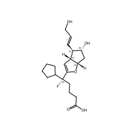 O=C(O)CCC[C@](F)(C1=C[C@@H]2[C@@H](/C=C/CO)[C@H](O)C[C@@H]2O1)C1CCCC1